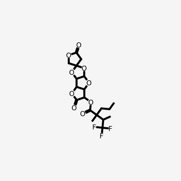 CCCC(C)(C(=O)OC1C(=O)OC2C3OC4(COC(=O)C4)OC3OC12)C(C)C(F)(F)F